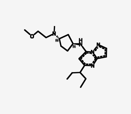 CCC(CC)c1cc(N[C@H]2CC[C@H](N(C)CCOC)C2)n2nccc2n1